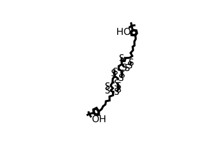 CC(C)(C)c1ccc(CCCCCCCC2SSSSC(CC3CSSCC(CC4SSSSC(CCCCCCCc5ccc(C(C)(C)C)c(O)c5)C5CC4S5)SS3)C3CC2SS3)cc1O